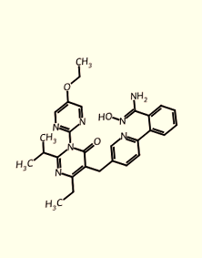 CCOc1cnc(-n2c(C(C)C)nc(CC)c(Cc3ccc(-c4ccccc4C(N)=NO)nc3)c2=O)nc1